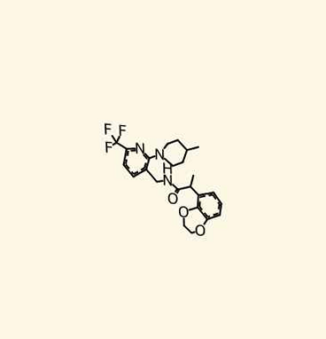 CC1CCN(c2nc(C(F)(F)F)ccc2CNC(=O)C(C)c2cccc3c2OCCO3)CC1